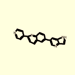 c1cc(-c2ccc3cc(-c4cnc5cc[nH]c5c4)ccc3n2)ccn1